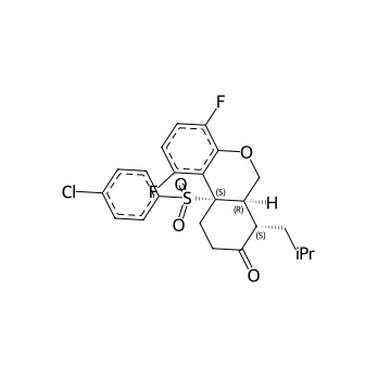 CC(C)C[C@@H]1C(=O)CC[C@@]2(S(=O)(=O)c3ccc(Cl)cc3)c3c(F)ccc(F)c3OC[C@@H]12